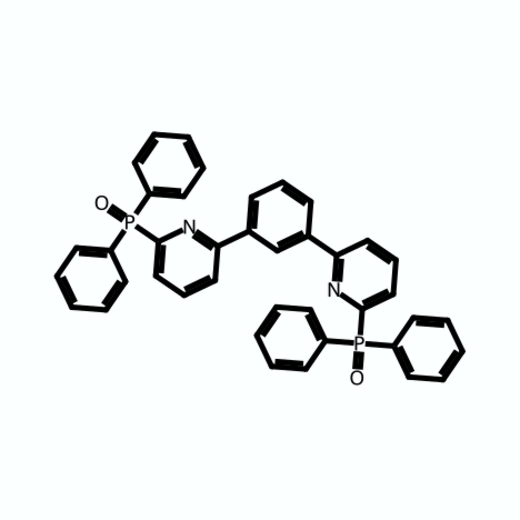 O=P(c1ccccc1)(c1ccccc1)c1cccc(-c2cccc(-c3cccc(P(=O)(c4ccccc4)c4ccccc4)n3)c2)n1